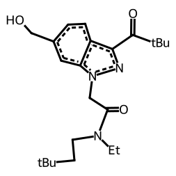 CCN(CCC(C)(C)C)C(=O)Cn1nc(C(=O)C(C)(C)C)c2ccc(CO)cc21